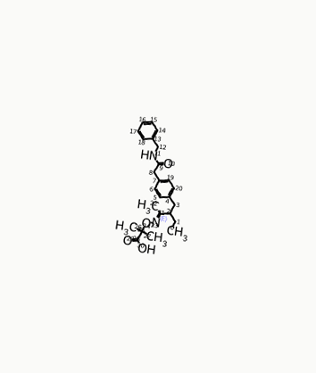 CCC(Cc1ccc(CC(=O)NCc2ccccc2)cc1)/C(C)=N/OC(C)(C)C(=O)O